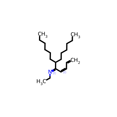 C=C/C=C\C(=N/CC)C(CCCCCC)CCCCCC